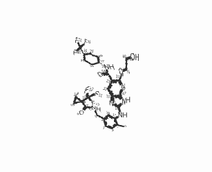 Cc1ccc(CNC(=O)C2(C(F)(F)F)CC2)cc1Nc1nc2cc(C(=O)N[C@H]3CC[C@H](C(F)(F)F)CC3)c(OCCO)nc2[nH]1